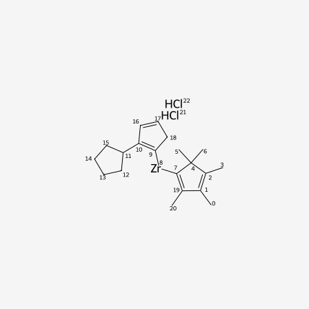 CC1=C(C)C(C)(C)[C]([Zr][C]2=C(C3CCCC3)C=CC2)=C1C.Cl.Cl